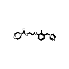 Cc1c(Cn2ccnc2)cccc1OCCOC(=O)N1CCOCC1